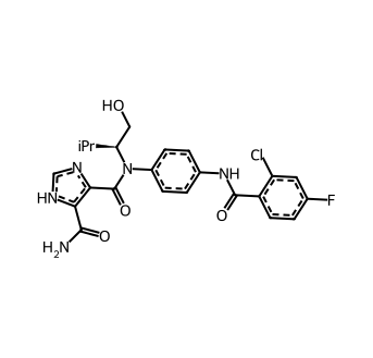 CC(C)[C@@H](CO)N(C(=O)c1nc[nH]c1C(N)=O)c1ccc(NC(=O)c2ccc(F)cc2Cl)cc1